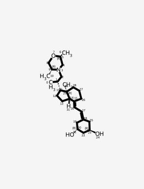 CC(CN1C[C@@H](C)OC[C@H]1C)[C@H]1CC[C@H]2C(=CC=C3C[C@@H](O)C[C@H](O)C3)CCC[C@]12C